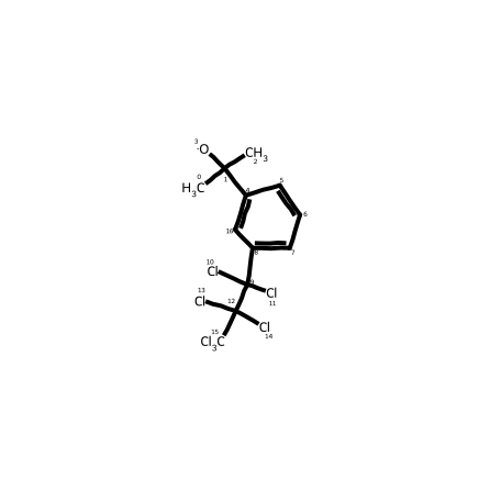 CC(C)([O])c1cccc(C(Cl)(Cl)C(Cl)(Cl)C(Cl)(Cl)Cl)c1